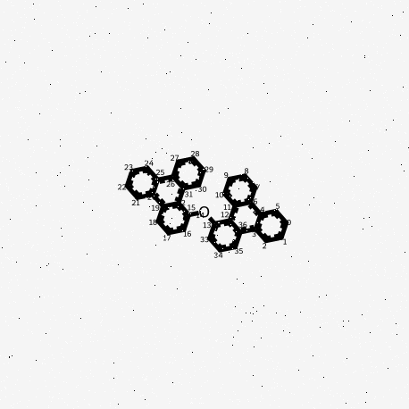 c1ccc2c(c1)c1ccccc1c1c(Oc3cccc4c5ccccc5c5ccccc5c34)cccc21